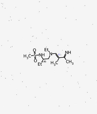 CC[C@H](CN(/C=C(\C)C(C)=N)CC)NS(C)(=O)=O